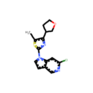 Cc1sc(-n2ccc3cnc(Cl)cc32)nc1C1CCOC1